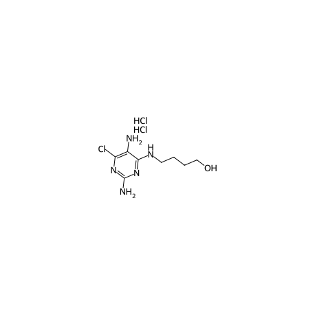 Cl.Cl.Nc1nc(Cl)c(N)c(NCCCCO)n1